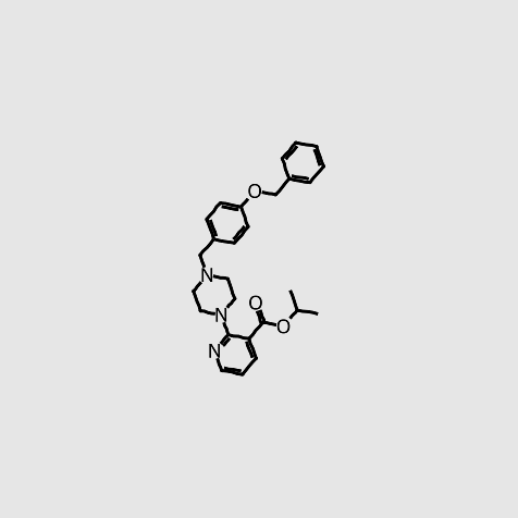 CC(C)OC(=O)c1cccnc1N1CCN(Cc2ccc(OCc3ccccc3)cc2)CC1